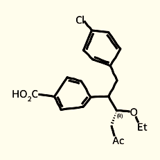 CCO[C@H](CC(C)=O)C(Cc1ccc(Cl)cc1)c1ccc(C(=O)O)cc1